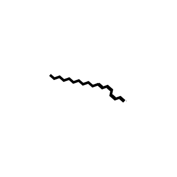 [CH]=C\C=C/C=C\C=C\CCCCCCCCCC